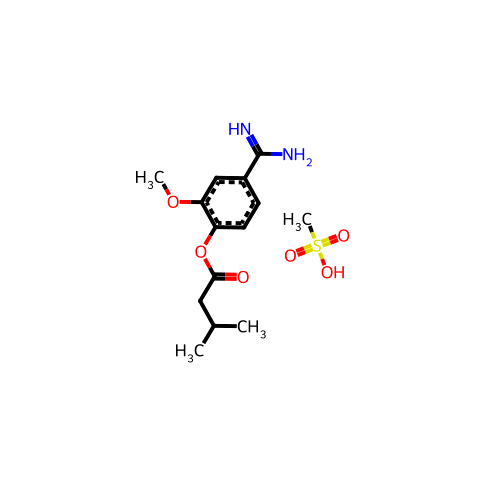 COc1cc(C(=N)N)ccc1OC(=O)CC(C)C.CS(=O)(=O)O